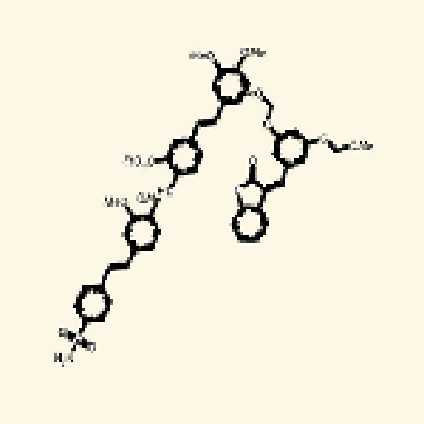 CCOC(=O)c1cc(C=Cc2ccc(OC)c(OC)c2)ccc1O.COCOc1cc(C=C2C(=O)Oc3ccccc32)cc(OCOC)c1.COc1ccc(C=Cc2ccc(S(N)(=O)=O)cc2)cc1OC